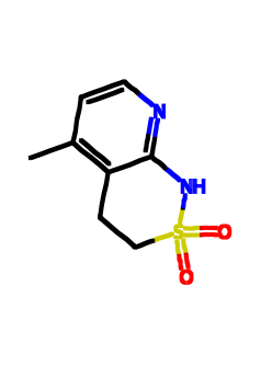 Cc1ccnc2c1CCS(=O)(=O)N2